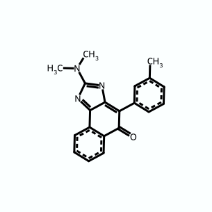 Cc1cccc(C2=C3N=C(N(C)C)N=C3c3ccccc3C2=O)c1